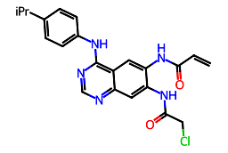 C=CC(=O)Nc1cc2c(Nc3ccc(C(C)C)cc3)ncnc2cc1NC(=O)CCl